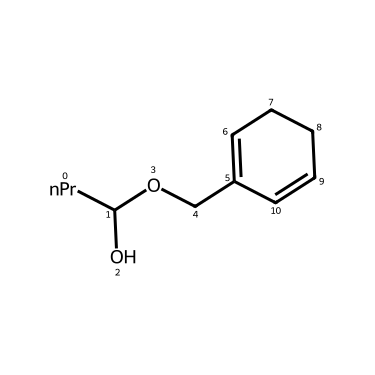 CCCC(O)OCC1=CCCC=C1